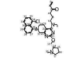 C=CC(=O)CCCN(C)c1nc(OC[C@@H]2CCCN2C)nc2c1CCN(c1cccc3cccc(Cl)c13)C2